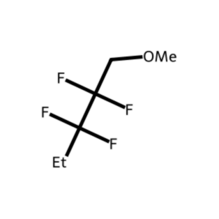 CCC(F)(F)C(F)(F)COC